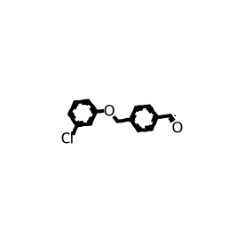 O=[C]c1ccc(COc2cccc(Cl)c2)cc1